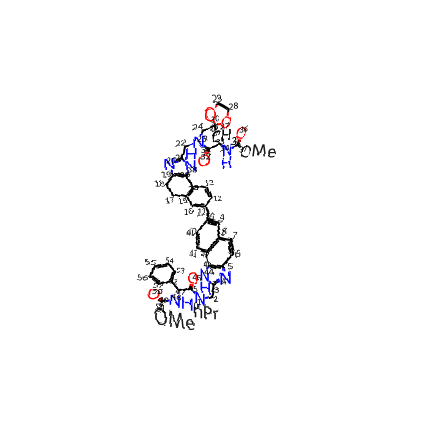 CCCN(Cc1nc2ccc3cc(-c4ccc5c(c4)CCc4nc(CN(CC6(C)OCCO6)C(=O)CNC(=O)OC)[nH]c4-5)ccc3c2[nH]1)C(=O)[C@H](NC(=O)OC)c1ccccc1